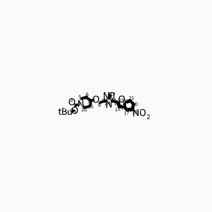 CC(C)(C)OC(=O)N1CCC(OCc2noc(-c3cc4cc([N+](=O)[O-])ccc4o3)n2)CC1